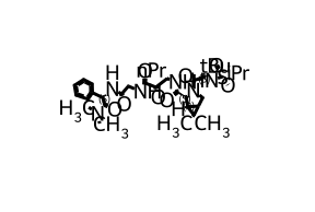 CCCC(NC(=O)[C@@H]1[C@@H]2C(CN1C(=O)[C@@H](NS(=O)(=O)C(C)C)C(C)(C)C)C2(C)C)C(=O)C(=O)NCC(=O)N[C@H](C(=O)N(C)C)c1ccccc1